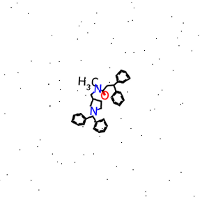 CN(CC1CCN(C(c2ccccc2)c2ccccc2)C1)C(=O)CC(c1ccccc1)c1ccccc1